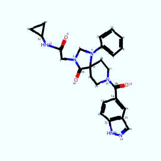 O=C(CN1CN(c2ccccc2)C2(CCN(C(=O)c3ccc4[nH]ncc4c3)CC2)C1=O)NC1CC1